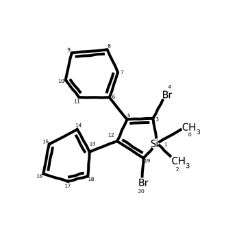 C[Si]1(C)C(Br)=C(c2ccccc2)C(c2ccccc2)=C1Br